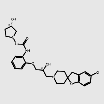 O=C(Nc1ccccc1OC[C@@H](O)CN1CCC2(CC1)Cc1cc(Cl)ccc1O2)ON1CC[C@H](O)C1